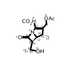 CC(=O)OCC1=C(C(=O)O)N2C(=O)[C@H]([C@@H](C)O)C2[C@H]1C